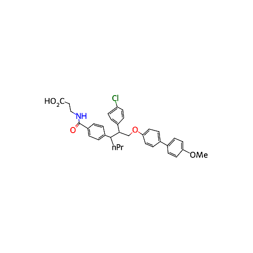 CCCC(c1ccc(C(=O)NCCC(=O)O)cc1)C(COc1ccc(-c2ccc(OC)cc2)cc1)c1ccc(Cl)cc1